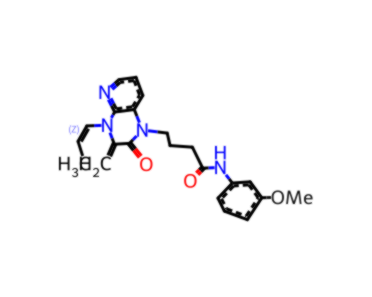 C=C1C(=O)N(CCCC(=O)Nc2cccc(OC)c2)c2cccnc2N1/C=C\C